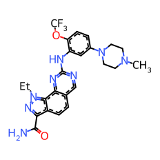 CCn1nc(C(N)=O)c2ccc3cnc(Nc4cc(N5CCN(C)CC5)ccc4OC(F)(F)F)nc3c21